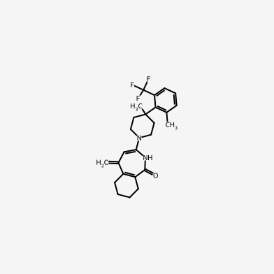 C=C1C=C(N2CCC(C)(c3c(C)cccc3C(F)(F)F)CC2)NC(=O)C2=C1CCCC2